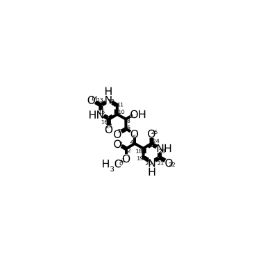 COC(=O)C(OC(=O)C(O)c1c[nH]c(=O)[nH]c1=O)c1c[nH]c(=O)[nH]c1=O